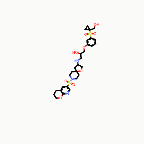 O=S(=O)(c1cnc2c(c1)CCCO2)N1CCC2(CC1)CC(NCC(O)COc1cccc(S(=O)(=O)C3(CO)CC3)c1)CO2